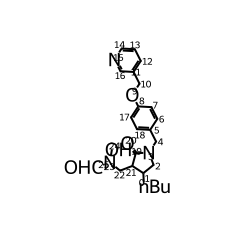 CCCCC1CN(Cc2ccc(OCc3cccnc3)cc2)C(=O)C1CN(O)C=O